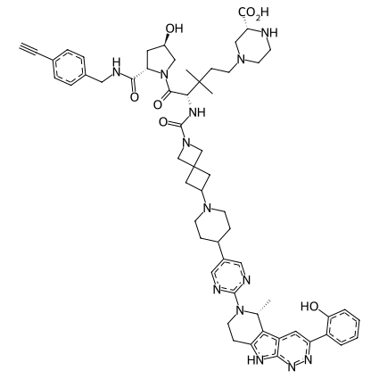 C#Cc1ccc(CNC(=O)[C@@H]2C[C@@H](O)CN2C(=O)[C@@H](NC(=O)N2CC3(CC(N4CCC(c5cnc(N6CCc7[nH]c8nnc(-c9ccccc9O)cc8c7[C@H]6C)nc5)CC4)C3)C2)C(C)(C)CCN2CCN[C@@H](C(=O)O)C2)cc1